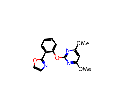 COc1cc(OC)nc(Oc2ccccc2-c2ncco2)n1